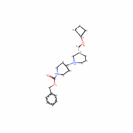 O=C(OCc1ccccc1)N1CCC(N2CCC[C@@H](COC3CCC3)C2)CC1